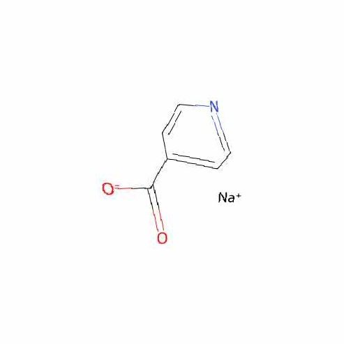 O=C([O-])c1ccncc1.[Na+]